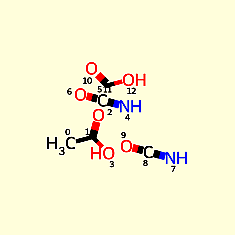 CC(=O)O.N=C=O.N=C=O.O=CO